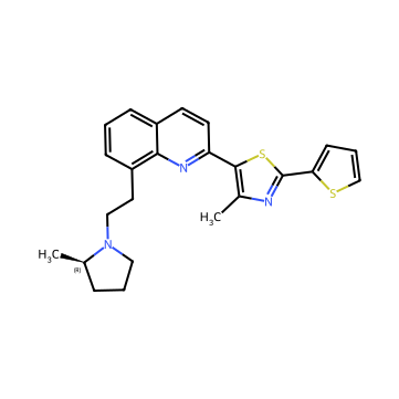 Cc1nc(-c2cccs2)sc1-c1ccc2cccc(CCN3CCC[C@H]3C)c2n1